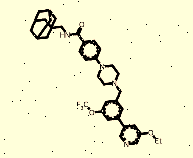 CCOc1cncc(-c2cc(CN3CCN(c4ccc(C(=O)NCC56CC7CC(CC(C7)C5)C6)cc4)CC3)cc(OC(F)(F)F)c2)c1